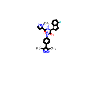 Cc1n[nH]c(C)c1-c1ccc(NC(=O)[C@@H](NC(=O)c2ccnn2C)[C@H]2C=Cc3c(F)cccc32)cc1